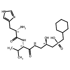 CC(C)[C@H](NC(=O)[C@@H](N)Cc1c[nH]cn1)C(=O)NC[C@@H](O)CP(=O)(O)CC1CCCCC1